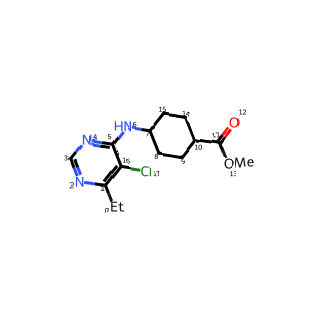 CCc1ncnc(NC2CCC(C(=O)OC)CC2)c1Cl